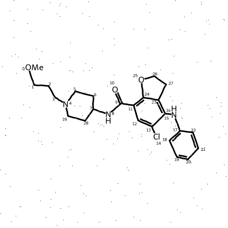 COCCCN1CCC(NC(=O)c2cc(Cl)c(Nc3ccccc3)c3c2OCC3)CC1